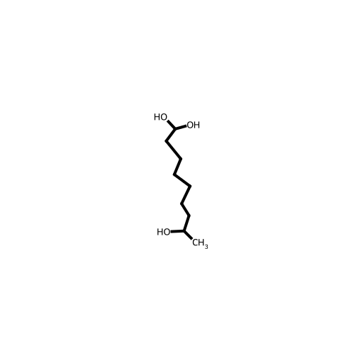 CC(O)CCCCCCC(O)O